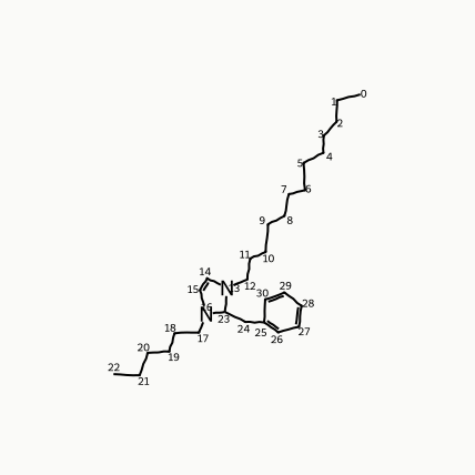 CCCCCCCCCCCCCN1C=CN(CCCCCC)C1Cc1ccccc1